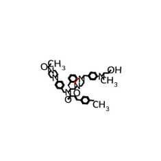 CCc1ccc(/C=C/C(=O)N(Cc2ccc(N3CCN(C(C)=O)CC3)cc2)[C@@H](Cc2ccccc2)C(=O)N2CCN(Cc3ccc(N(C)CCO)cc3)CC2)cc1